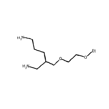 CCOCCOCC(CN)CCCN